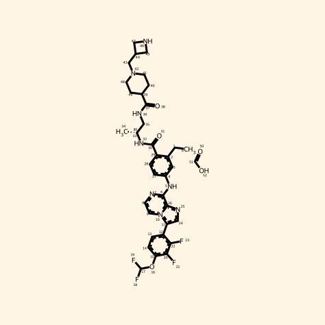 CCc1cc(Nc2nccn3c(-c4ccc(OC(F)F)c(F)c4F)cnc23)ccc1C(=O)N[C@H](C)CNC(=O)C1CCN(CC2CNC2)CC1.O=CO